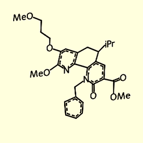 COCCCOc1cc2c(nc1OC)-c1c(cc(C(=O)OC)c(=O)n1Cc1ccccc1)C(C(C)C)C2